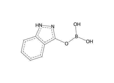 OB(O)Oc1n[nH]c2ccccc12